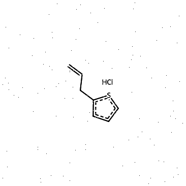 C=CCc1cccs1.Cl